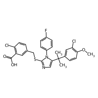 COc1ccc(C(C)(C)c2cnc(SCc3ccc(Cl)c(C(=O)O)c3)n2-c2ccc(F)cc2)cc1Cl